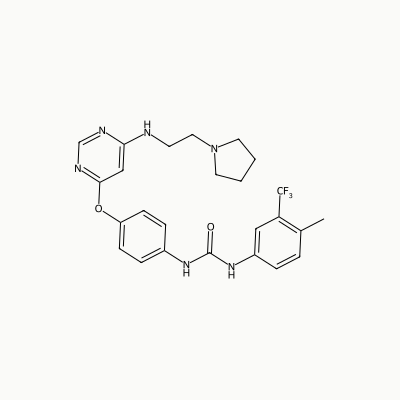 Cc1ccc(NC(=O)Nc2ccc(Oc3cc(NCCN4CCCC4)ncn3)cc2)cc1C(F)(F)F